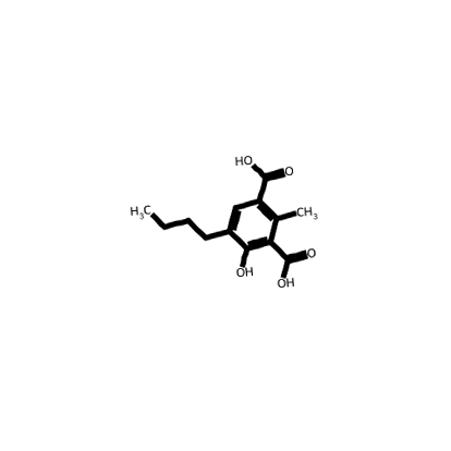 CCCCc1cc(C(=O)O)c(C)c(C(=O)O)c1O